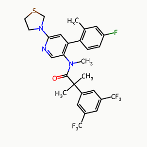 Cc1cc(F)ccc1-c1cc(N2CCSC2)ncc1N(C)C(=O)C(C)(C)c1cc(C(F)(F)F)cc(C(F)(F)F)c1